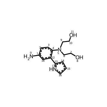 Nc1ccc(N(CCO)CCO)c(-c2ccc[nH]2)c1